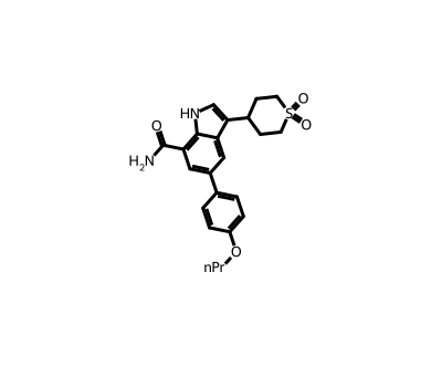 CCCOc1ccc(-c2cc(C(N)=O)c3[nH]cc(C4CCS(=O)(=O)CC4)c3c2)cc1